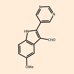 COc1ccc2[nH]c(-c3cncnc3)c(C=O)c2c1